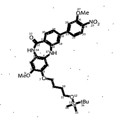 COc1cc2c(cc1OCCCCO[Si](C)(C)C(C)(C)C)Nc1cc(-c3ccc([N+](=O)[O-])c(OC)c3)ccc1C(=O)N2